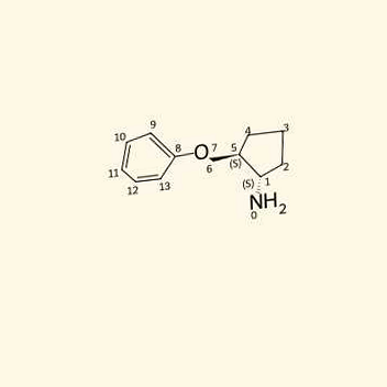 N[C@H]1CCC[C@@H]1COc1ccccc1